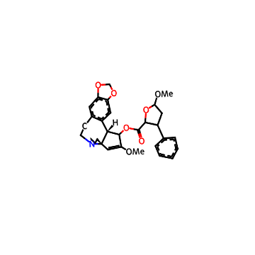 COC1=C[C@]23CCCN2CCc2cc4c(cc2[C@@H]3C1OC(=O)C1OC(OC)CC1c1ccccc1)OCO4